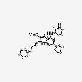 COc1cc2c(N[C@H]3CCCNC3)nc(N3CCCCC3)nc2cc1OCCCN1CCCCC1